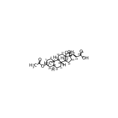 CC(=O)O[C@H]1CC[C@@]2(C)[C@@H](CC[C@@H]3[C@@H]2CC[C@@]2(C)[C@H]3CC[C@@]2(O)C=CC(=O)O)C1